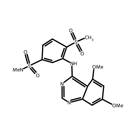 CNS(=O)(=O)c1ccc(S(C)(=O)=O)c(Nc2ncnc3cc(OC)cc(OC)c23)c1